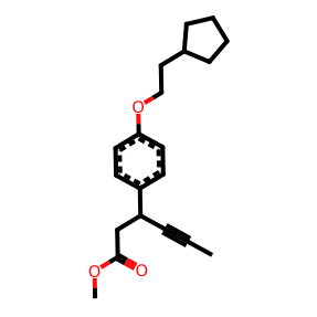 CC#CC(CC(=O)OC)c1ccc(OCCC2CCCC2)cc1